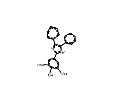 CCCCc1cc(-c2nc(-c3ccccc3)c(-c3ccccc3)[nH]2)cc(CCCC)c1O